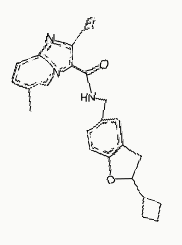 CCc1nc2ccc(C)cn2c1C(=O)NCc1ccc2c(c1)CC(C1CCC1)O2